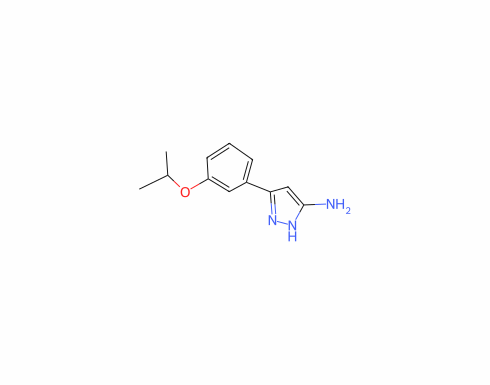 CC(C)Oc1cccc(-c2cc(N)[nH]n2)c1